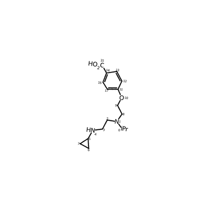 CC(C)N(CCNC1CC1)CCOc1ccc(C(=O)O)cc1